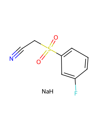 N#CCS(=O)(=O)c1cccc(F)c1.[NaH]